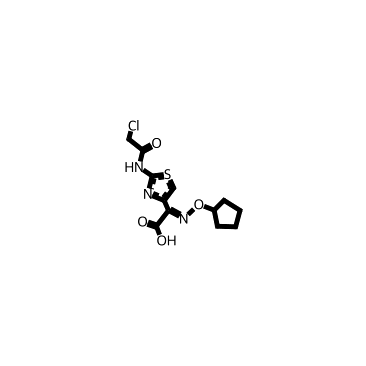 O=C(CCl)Nc1nc(/C(=N\OC2CCCC2)C(=O)O)cs1